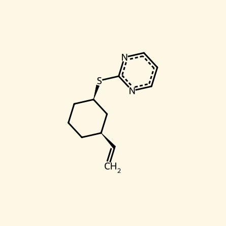 C=C[C@H]1CCC[C@@H](Sc2ncccn2)C1